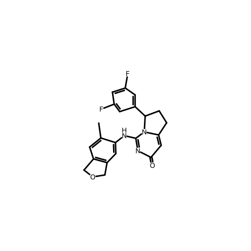 Cc1cc2c(cc1Nc1nc(=O)cc3n1C(c1cc(F)cc(F)c1)CC3)COC2